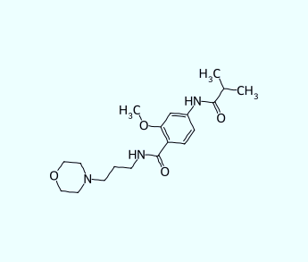 COc1cc(NC(=O)C(C)C)ccc1C(=O)NCCCN1CCOCC1